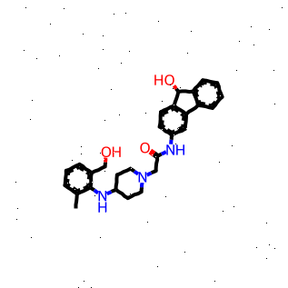 Cc1cccc(CO)c1NC1CCN(CC(=O)Nc2ccc3c(c2)-c2ccccc2C3O)CC1